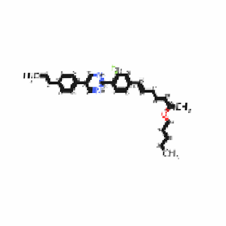 C=CCc1ccc(-c2cnc(-c3ccc(C=CCCCC(C)OCCCCC)cc3F)nc2)cc1